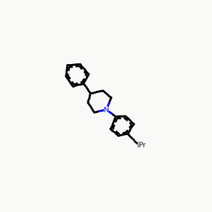 CC(C)c1ccc(N2CCC(c3ccccc3)CC2)cc1